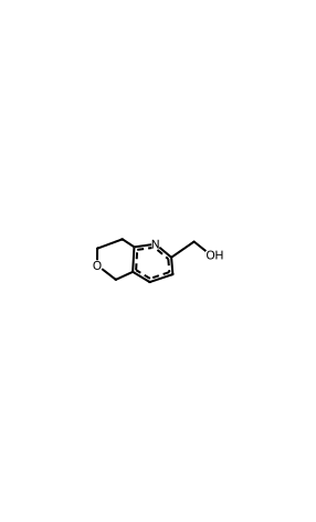 OCc1ccc2c(n1)CCOC2